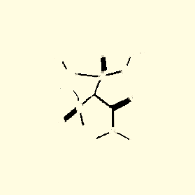 CCCCCCOP(=O)(OCCCCCC)C(C(=O)N(CC)CC)P(=O)(O)O